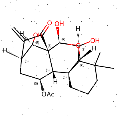 C=C1C(=O)[C@]23[C@H](O)[C@H]1C[C@H](OC(C)=O)[C@H]2[C@]12CCCC(C)(C)[C@H]1[C@H](O)[C@]3(O)OC2